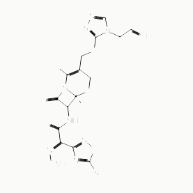 C=CCn1cnnc1SCC1=C(C(=O)O)N2C(=O)C(NC(=O)/C(=N/OC)c3nsc(N)n3)[C@H]2SC1